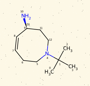 CC(C)(C)N1CCC=C[C@@H](N)CC1